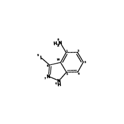 Nc1cccc2[nH]nc(I)c12